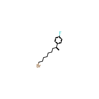 C=C(CCCCCCCBr)c1ccc(F)cc1